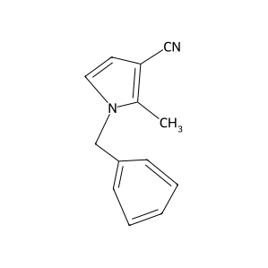 Cc1c(C#N)ccn1Cc1ccccc1